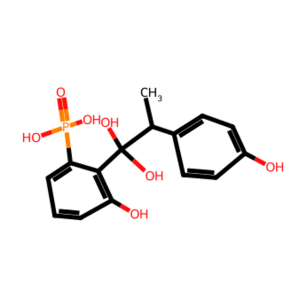 CC(c1ccc(O)cc1)C(O)(O)c1c(O)cccc1P(=O)(O)O